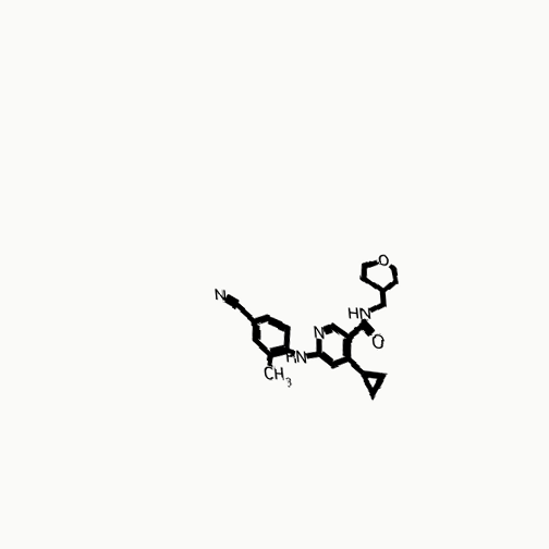 Cc1cc(C#N)ccc1Nc1cc(C2CC2)c(C(=O)NCC2CCOCC2)cn1